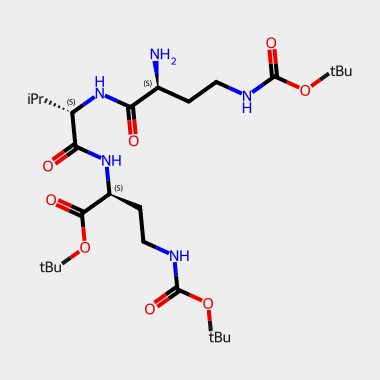 CC(C)[C@H](NC(=O)[C@@H](N)CCNC(=O)OC(C)(C)C)C(=O)N[C@@H](CCNC(=O)OC(C)(C)C)C(=O)OC(C)(C)C